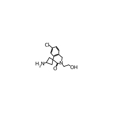 NC1CC2(C1)C(=O)N(CCO)Cc1ccc(Cl)cc12